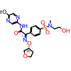 COc1cnc(NC(=O)/C(=N/O[C@@H]2CCOC2)c2ccc(S(=O)(=O)N(C)CCO)cc2)cn1